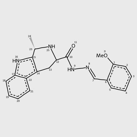 COc1ccccc1/C=N/NC(=O)C1Cc2c([nH]c3ccccc23)[C@H](C)N1